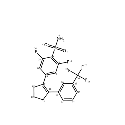 NS(=O)(=O)c1c(F)cc(C2=C(c3cccc(C(F)(F)F)c3)CCC2)cc1F